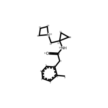 Cc1ccccc1CC(=O)NC1(CN2CCC2)CC1